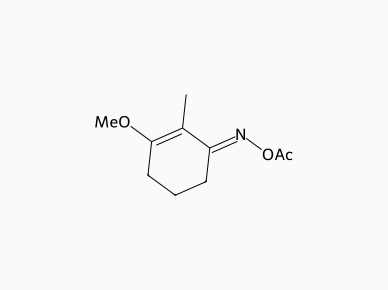 COC1=C(C)C(=NOC(C)=O)CCC1